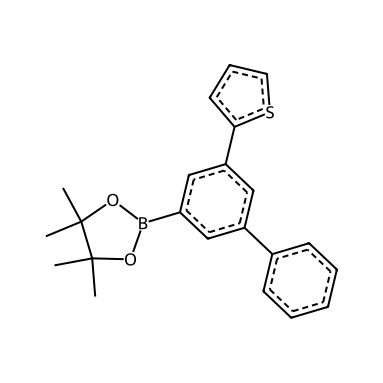 CC1(C)OB(c2cc(-c3ccccc3)cc(-c3cccs3)c2)OC1(C)C